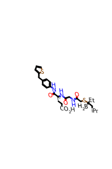 BC(CC)(CC(C)C)SCC(=O)NCC(=O)N[C@H](CCC(=O)O)C(=O)Nc1ccc(Cc2cccs2)cc1